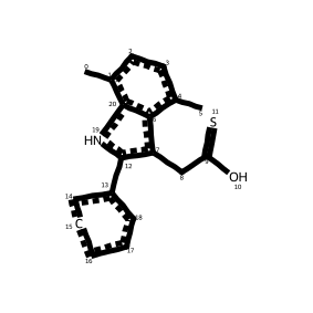 Cc1ccc(C)c2c(CC(O)=S)c(-c3ccccc3)[nH]c12